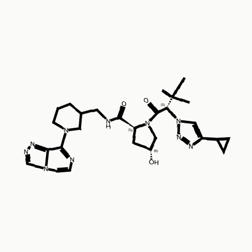 CC(C)(C)[C@@H](C(=O)N1C[C@H](O)C[C@H]1C(=O)NCC1CCCN(c2nccn3cnnc23)C1)n1cc(C2CC2)nn1